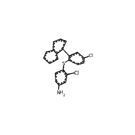 Nc1ccc(Sc2ccc(Cl)cc2-c2cccc3ccccc23)c(Cl)c1